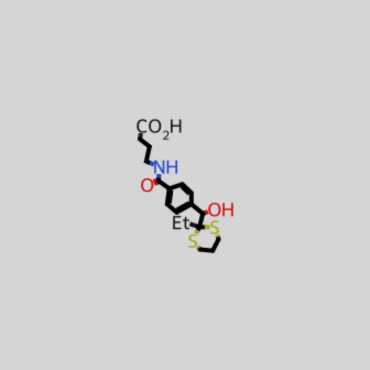 CCC1(C(O)c2ccc(C(=O)NCCCC(=O)O)cc2)SCCCS1